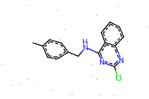 Cc1ccc(CNc2nc(Cl)nc3ccccc23)cc1